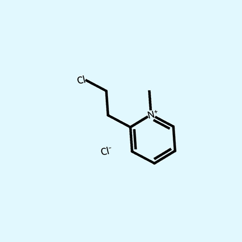 C[n+]1ccccc1CCCl.[Cl-]